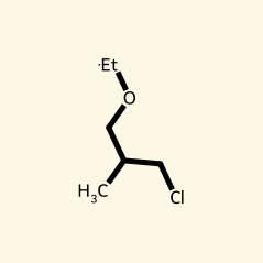 C[CH]OCC(C)CCl